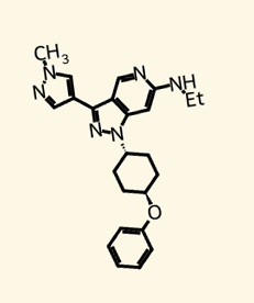 CCNc1cc2c(cn1)c(-c1cnn(C)c1)nn2[C@H]1CC[C@H](Oc2ccccc2)CC1